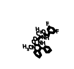 C[C@H](NC(=O)Cc1cc(F)cc(F)c1)C(=O)NC1C(=O)N(C)c2ccccc2C1c1ccccc1